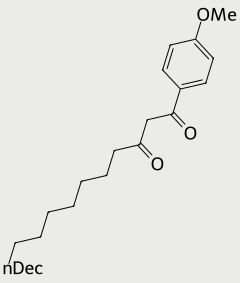 CCCCCCCCCCCCCCCCCC(=O)CC(=O)c1ccc(OC)cc1